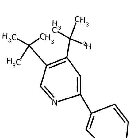 [2H]C(C)(C)c1cc(-c2ccccc2)ncc1C(C)(C)C